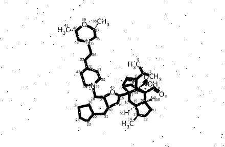 CC(C)C1=CC2CC3(C=O)[C@@H]4CC[C@@H](C)[C@H]4CC2(C2CC(CC4CCCC4)C(CN4CCC(CCN5C[C@@H](C)O[C@@H](C)C5)CC4)O2)[C@]13C(=O)O